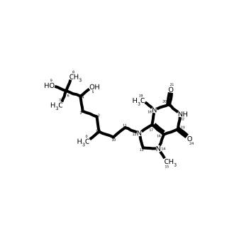 CC(CCC(O)C(C)(C)O)CCN1CN(C)c2c1n(C)c(=O)[nH]c2=O